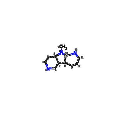 Cn1c2ccncc2c2cccnc21